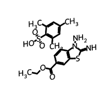 CCOC(=O)c1ccc2c(c1)sc(=N)n2N.Cc1cc(C)c(S(=O)(=O)O)c(C)c1